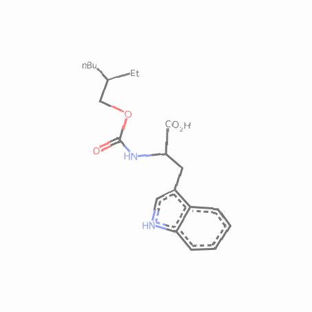 CCCCC(CC)COC(=O)NC(Cc1c[nH]c2ccccc12)C(=O)O